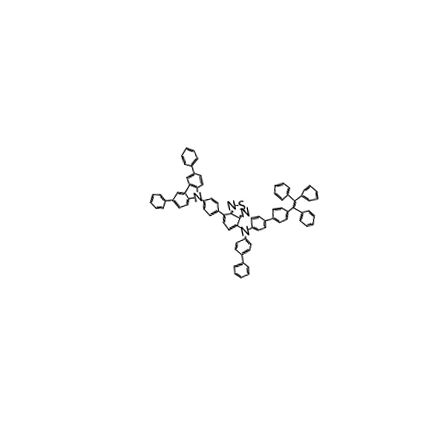 c1ccc(C(=C(c2ccccc2)c2ccc(-c3ccc(N(c4ccc(-c5ccccc5)cc4)c4ccc(-c5ccc(-n6c7ccc(-c8ccccc8)cc7c7cc(-c8ccccc8)ccc76)cc5)c5nsnc45)cc3)cc2)c2ccccc2)cc1